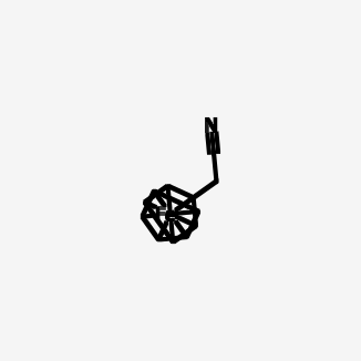 N#CC[C]12[CH]3[CH]4[CH]5[CH]1[Fe]45321678[CH]2[CH]1[CH]6[CH]7[CH]28